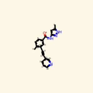 Cc1cc(NC(=O)c2ccc(C)c(C#Cc3cccnc3)c2)n[nH]1